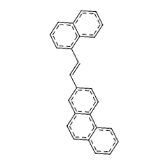 C(=Cc1cccc2ccccc12)c1ccc2c(ccc3ccccc32)c1